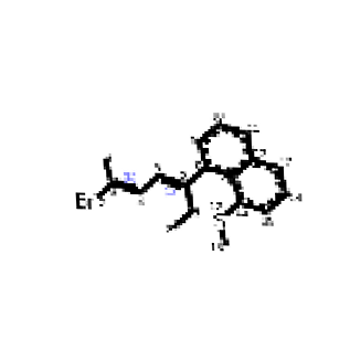 CC/C(=C\C=C(/C)Br)c1cccc2cccc(SC)c12